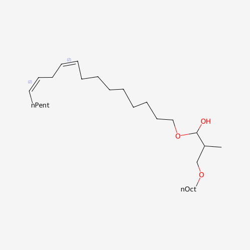 CCCCC/C=C\C/C=C\CCCCCCCCOC(O)C(C)COCCCCCCCC